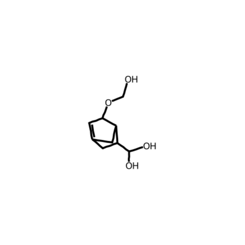 OCOC1C=C2CC(C(O)O)C1C2